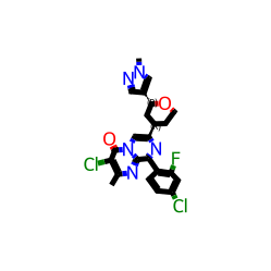 Cc1nc2c(-c3ccc(Cl)cc3F)nc([C@@H]3CCO[C@@H](c4cnn(C)c4)C3)cn2c(=O)c1Cl